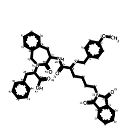 COc1ccc(CSC(CCCCN2C(=O)c3ccccc3C2=O)C(=O)NC2Cc3ccccc3CN(C(Cc3ccccc3)C(=O)O)C2=O)cc1